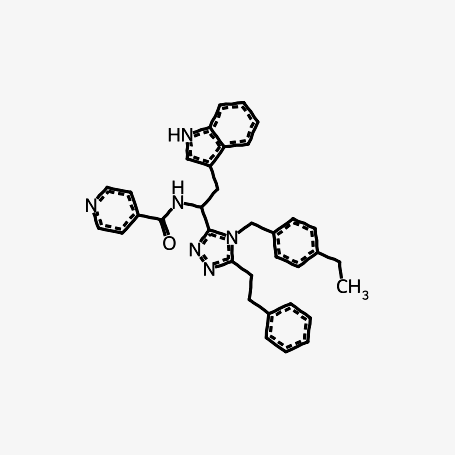 CCc1ccc(Cn2c(CCc3ccccc3)nnc2C(Cc2c[nH]c3ccccc23)NC(=O)c2ccncc2)cc1